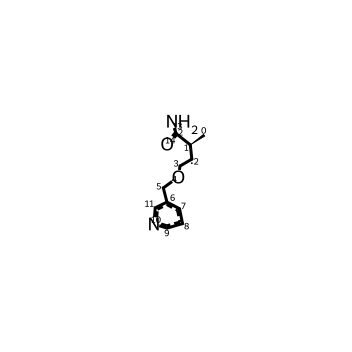 C[C@@H]([CH]COCc1cccnc1)C(N)=O